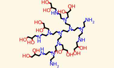 NCCN(CCNCC(O)CO)CCN(CCN(CCN(CCNCC(O)CO)CC(O)CO)CCN(CCN(CCN)CCNCC(O)CO)CC(O)CO)CCN(CCNCC(O)CO)CC(O)CO